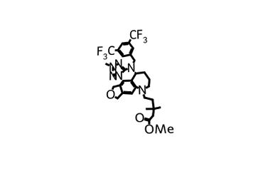 COC(=O)CC(C)(C)CCN1CCC[C@H](N(Cc2cc(C(F)(F)F)cc(C(F)(F)F)c2)c2nnn(C)n2)c2cc3c(cc21)COC3